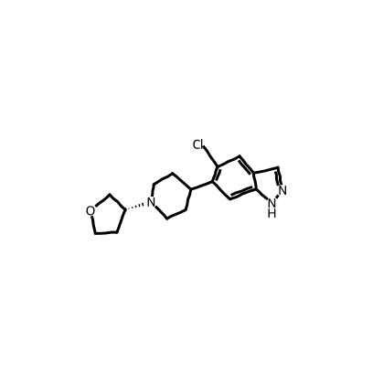 Clc1cc2cn[nH]c2cc1C1CCN([C@@H]2CCOC2)CC1